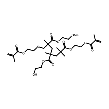 C=C(C)C(=O)OCCOC(=O)C(C)(C)CC(C)(CC(C)(CSCCOC(=O)C(=C)C)C(=O)OCCOC)C(=O)OCCO